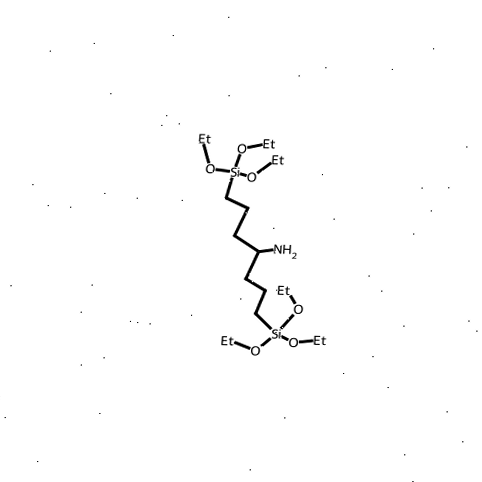 CCO[Si](CCCC(N)CCC[Si](OCC)(OCC)OCC)(OCC)OCC